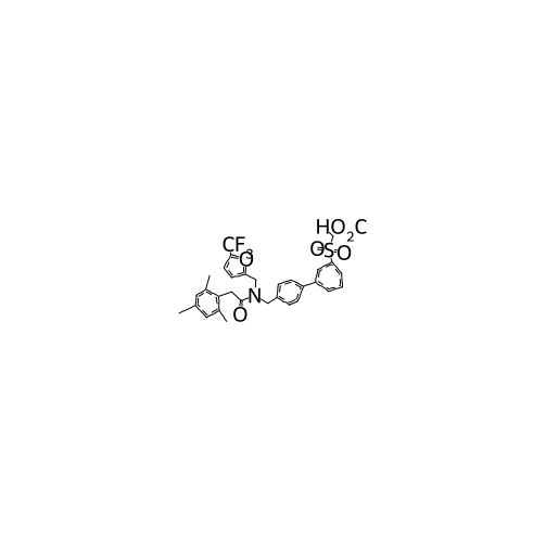 Cc1cc(C)c(CC(=O)N(Cc2ccc(-c3cccc(S(=O)(=O)CC(=O)O)c3)cc2)Cc2ccc(C(F)(F)F)o2)c(C)c1